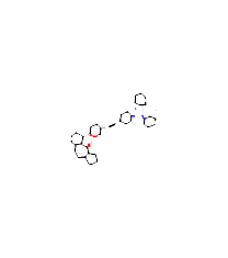 Cc1cc(-c2cccc3ccc4ccccc4c(=O)c23)ccc1C#Cc1ccc(N2c3ccccc3Sc3ccccc32)cc1C